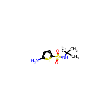 CC(C)(C)NS(=O)(=O)c1ccc(N)s1